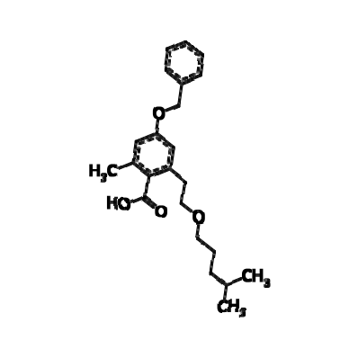 Cc1cc(OCc2ccccc2)cc(CCOCCCC(C)C)c1C(=O)O